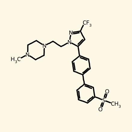 CN1CCN(CCn2nc(C(F)(F)F)cc2-c2ccc(-c3cccc(S(C)(=O)=O)c3)cc2)CC1